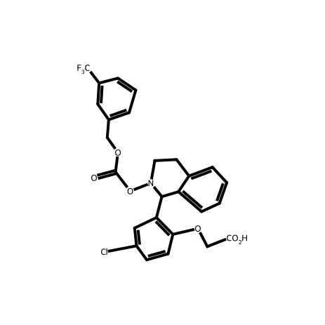 O=C(O)COc1ccc(Cl)cc1C1c2ccccc2CCN1OC(=O)OCc1cccc(C(F)(F)F)c1